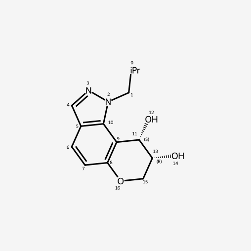 CC(C)Cn1ncc2ccc3c(c21)[C@H](O)[C@H](O)CO3